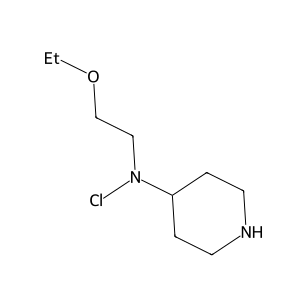 CCOCCN(Cl)C1CCNCC1